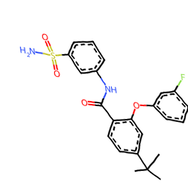 CC(C)(C)c1ccc(C(=O)Nc2cccc(S(N)(=O)=O)c2)c(Oc2cccc(F)c2)c1